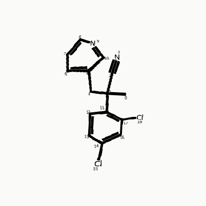 CC(C#N)(Cc1cccnc1)c1ccc(Cl)cc1Cl